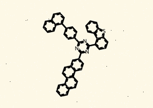 c1ccc2c(-c3ccc(-c4nc(-c5ccc6c(ccc7c8ccccc8ccc67)c5)nc(-c5cccc6sc7ccccc7c56)n4)cc3)cccc2c1